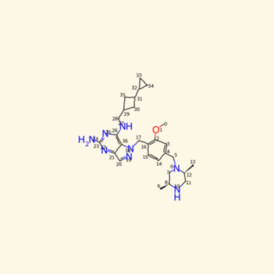 COc1cc(CN2C[C@H](C)NC[C@@H]2C)ccc1Cn1ncc2nc(N)nc(NCC3CC(C4CC4)C3)c21